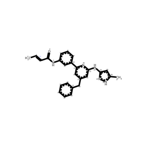 C/C=C/C(=O)Nc1cccc(-c2cc(Cc3ccccc3)cc(Nc3cc(C)[nH]n3)n2)c1